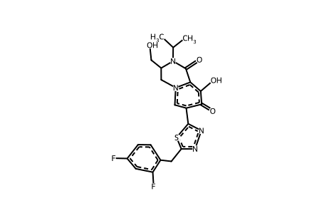 CC(C)N1C(=O)c2c(O)c(=O)c(-c3nnc(Cc4ccc(F)cc4F)s3)cn2CC1CO